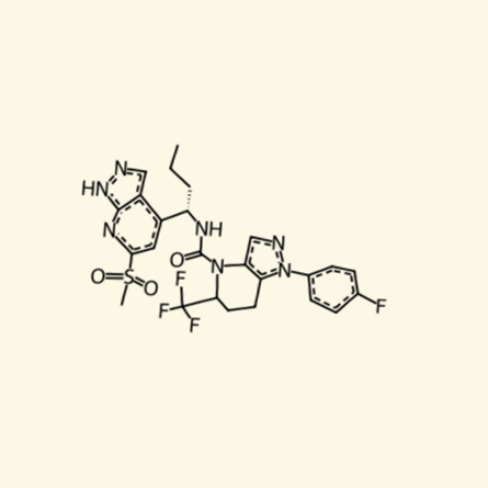 CCC[C@H](NC(=O)N1c2cnn(-c3ccc(F)cc3)c2CCC1C(F)(F)F)c1cc(S(C)(=O)=O)nc2[nH]ncc12